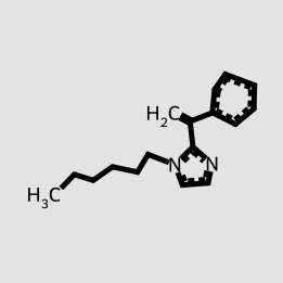 C=C(c1ccccc1)c1nccn1CCCCCC